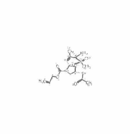 C=CCOC(=O)N1C[C@@H](SC(C)=O)C[C@H]1C=C(C)C(N)S(C)(=O)=O